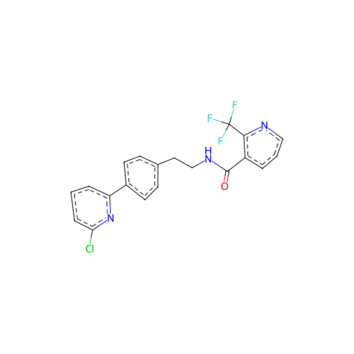 O=C(NCCc1ccc(-c2cccc(Cl)n2)cc1)c1cccnc1C(F)(F)F